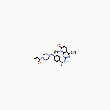 C=CC(=O)N1CCN(Cc2ccc([C@H](C)Nc3nc(C#N)c4ccc(=O)n(C(C)C)c4n3)cc2)CC1